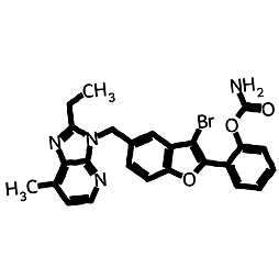 CCc1nc2c(C)ccnc2n1Cc1ccc2oc(-c3ccccc3OC(N)=O)c(Br)c2c1